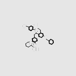 CC(Oc1ccc(CC2c3ccc(OCc4ccccc4)cc3CCN2c2ccc(Cl)cc2Cl)cc1)C1CCCCN1